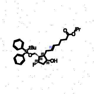 CC(C)OC(=O)CCC/C=C/C[C@@H]1[C@@H](CO[Si](c2ccccc2)(c2ccccc2)C(C)(C)C)[C@@H](F)C[C@@H]1O